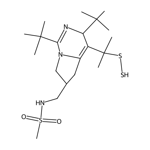 CC(C)(C)C1=NC(C(C)(C)C)C(C(C)(C)SS)=C2CC(CNS(C)(=O)=O)CN12